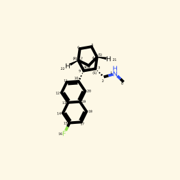 CNC[C@H]1[C@H]2CC[C@H](C2)[C@H]1c1ccc2cc(F)ccc2c1